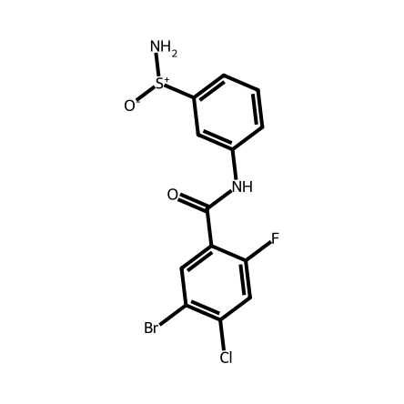 N[S+]([O-])c1cccc(NC(=O)c2cc(Br)c(Cl)cc2F)c1